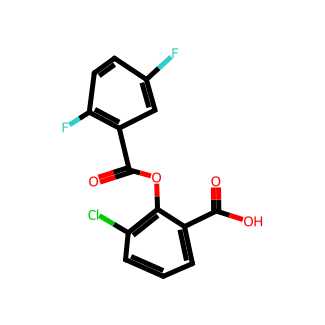 O=C(Oc1c(Cl)cccc1C(=O)O)c1cc(F)ccc1F